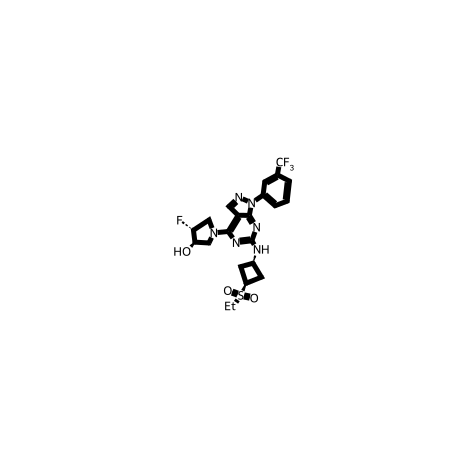 CCS(=O)(=O)[C@H]1C[C@H](Nc2nc(N3C[C@@H](O)[C@H](F)C3)c3cnn(-c4cccc(C(F)(F)F)c4)c3n2)C1